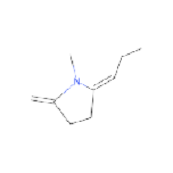 C=C1CC/C(=C/CC)N1C